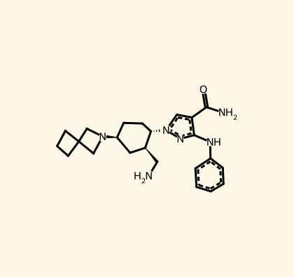 NC[C@H]1C[C@@H](N2CC3(CCC3)C2)CC[C@@H]1n1cc(C(N)=O)c(Nc2ccccc2)n1